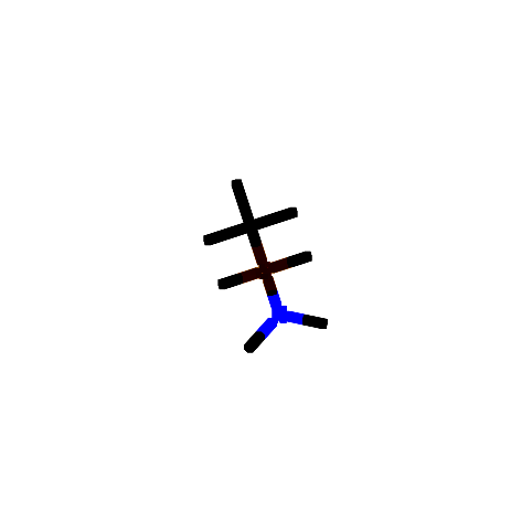 CN(C)S(C)(C)C(C)(C)C